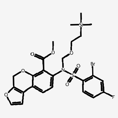 COC(=O)c1c(N(COCC[Si](C)(C)C)S(=O)(=O)c2ccc(F)cc2Br)ccc2c1OCc1occc1-2